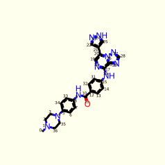 CN1CCN(c2ccc(NC(=O)c3ccc(Nc4ncc(-c5cn[nH]c5)n5ncnc45)cc3)cc2)CC1